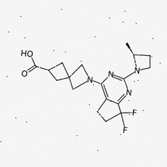 C[C@H]1CCN1c1nc(N2CC3(CC(C(=O)O)C3)C2)c2c(n1)C(F)(F)CC2